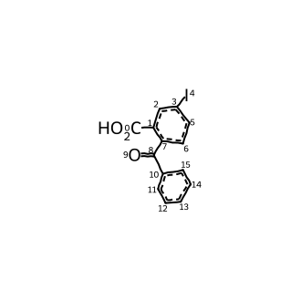 O=C(O)c1cc(I)ccc1C(=O)c1ccccc1